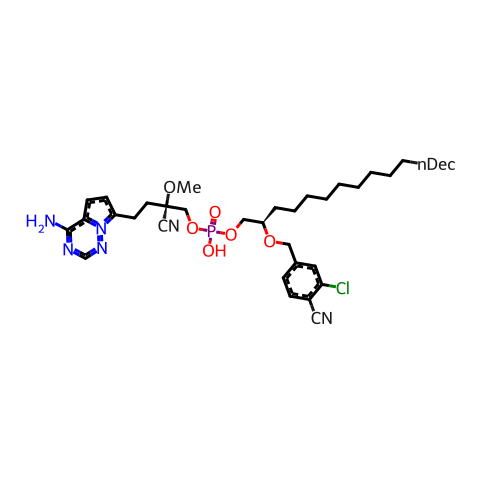 CCCCCCCCCCCCCCCCCCC[C@H](COP(=O)(O)OC[C@](C#N)(CCc1ccc2c(N)ncnn12)OC)OCc1ccc(C#N)c(Cl)c1